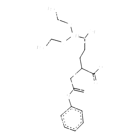 CCO[SiH](OCC)C(C)CCC(CC(=O)Nc1ccccc1)C(=O)O